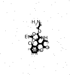 CCC(=O)OC1=C(COCCN)NC(C)=C(C(=O)OC)C1c1ccccc1Cl